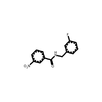 O=C(NCc1cccc(F)c1)c1cccc([N+](=O)[O-])c1